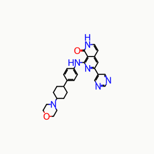 O=c1[nH]ccc2cc(-c3cncnc3)nc(Nc3ccc(C4CCC(N5CCOCC5)CC4)cc3)c12